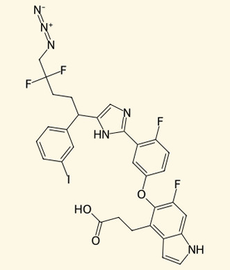 [N-]=[N+]=NCC(F)(F)CCC(c1cccc(I)c1)c1cnc(-c2cc(Oc3c(F)cc4[nH]ccc4c3CCC(=O)O)ccc2F)[nH]1